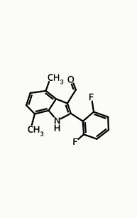 Cc1ccc(C)c2c(C=O)c(-c3c(F)cccc3F)[nH]c12